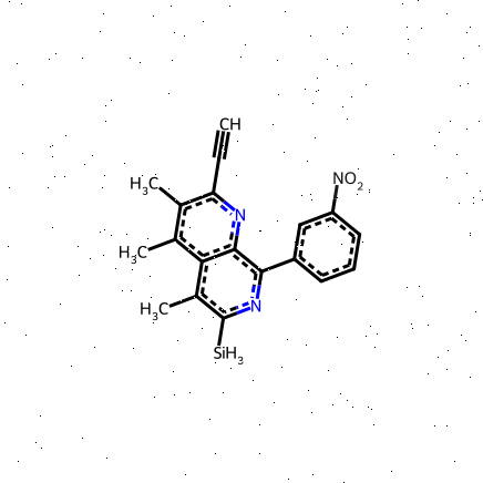 C#Cc1nc2c(-c3cccc([N+](=O)[O-])c3)nc([SiH3])c(C)c2c(C)c1C